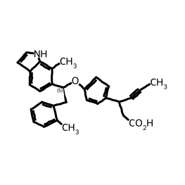 CC#CC(CC(=O)O)c1ccc(O[C@@H](Cc2ccccc2C)c2ccc3cc[nH]c3c2C)cc1